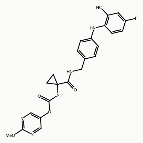 COc1ncc(OC(=O)NC2(C(=O)NCc3ccc(Nc4ccc(F)cc4C#N)cc3)CC2)cn1